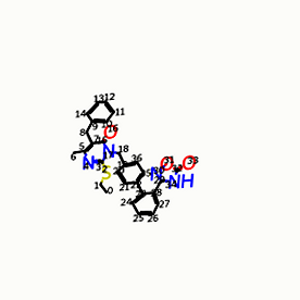 CCSc1nc(C)c(Cc2ccccc2)c(=O)n1Cc1ccc(-c2ccccc2-c2noc(=O)[nH]2)cc1